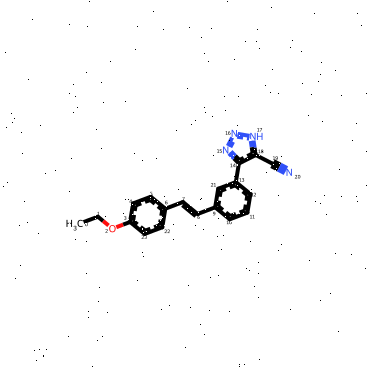 CCOc1ccc(/C=C/c2cccc(-c3nn[nH]c3C#N)c2)cc1